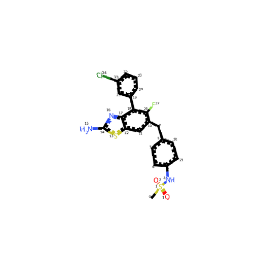 CS(=O)(=O)Nc1ccc(Cc2cc3sc(N)nc3c(-c3cccc(Cl)c3)c2F)cc1